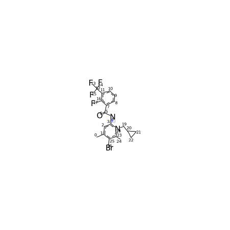 Cc1c/c(=N\C(=O)c2cccc(C(F)(F)F)c2F)n(CC2CC2)c(C)c1Br